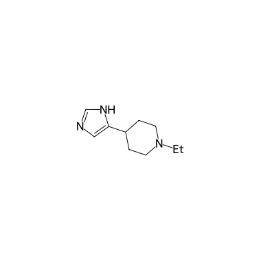 CCN1CCC(c2cnc[nH]2)CC1